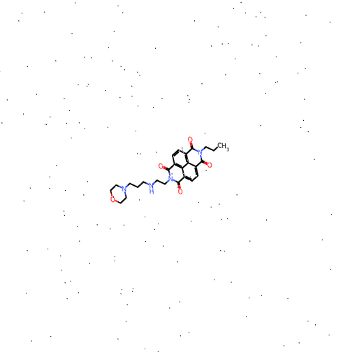 CCCN1C(=O)c2ccc3c4c(ccc(c24)C1=O)C(=O)N(CCNCCCN1CCOCC1)C3=O